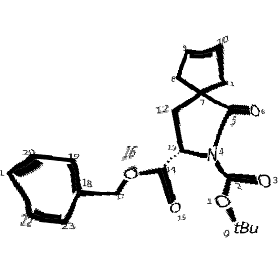 CC(C)(C)OC(=O)N1C(=O)C2(CC=CC2)C[C@H]1C(=O)OCc1ccccc1